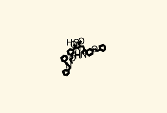 O=C(NC(Cc1c[nH]c2ccc(OCc3ccccc3)cc12)C(=O)O)c1cccc(OCCN(Cc2ccccc2)Cc2ccccc2)c1